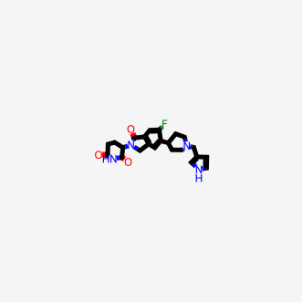 O=C1CCC(N2Cc3cc(C4CCN(Cc5cc[nH]c5)CC4)c(F)cc3C2=O)C(=O)N1